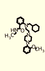 CCNC(=O)c1ccccc1N(CCN1CCN(c2ccccc2OC)CC1)CC1CCCCC1